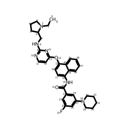 CCN1CCCC1CNc1nccc(Oc2ccc(NC(=O)c3cc(F)cc(N4CCCCC4)c3)c3ccccc23)n1